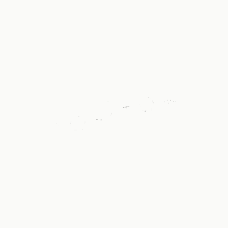 CCCCc1ccc(C#C/C(F)=C(\F)C#Cc2ccc(OC)cc2)cc1